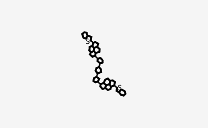 c1cc(-c2ccc(-c3cccc(-c4ccc5ccc6c(-c7cc8ccccc8s7)ccc7ccc4c5c76)c3)cc2)cc(-c2ccc3ccc4c(-c5cc6ccccc6s5)ccc5ccc2c3c54)c1